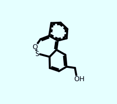 OCC1=CC2=c3ccccc3=COSC2C=C1